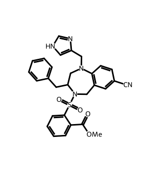 COC(=O)c1ccccc1S(=O)(=O)N1Cc2cc(C#N)ccc2N(Cc2c[nH]cn2)CC1Cc1ccccc1